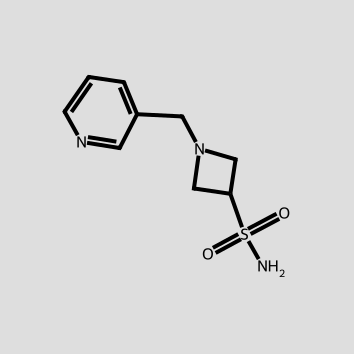 NS(=O)(=O)C1CN(Cc2cccnc2)C1